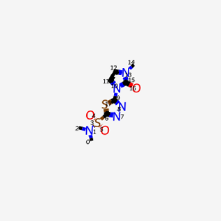 CN(C)S(=O)(=O)c1nnc(-n2ccn(C)c2=O)s1